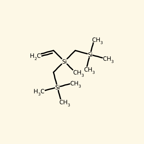 C=C[Si](C)(C[Si](C)(C)C)C[Si](C)(C)C